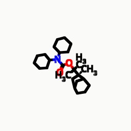 CC(C)(OC(=O)N(C1CCCCC1)C1CCCCC1)[C@]1(C)CC2CCCC1C2